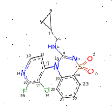 O=S1(=O)N=C(NCC2CC2)N(c2ccnc(F)c2Cl)c2ccccc21